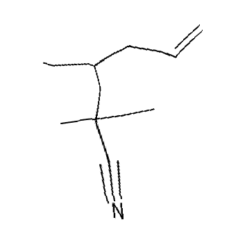 C=CCC(C)C(C)(C)C#N